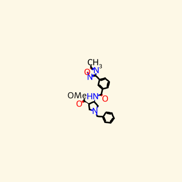 COC(=O)[C@@H]1CN(Cc2ccccc2)C[C@H]1NC(=O)c1cccc(-c2noc(C)n2)c1